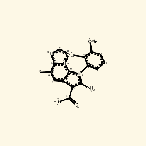 COc1cccc(-n2c(N)c(C(N)=O)c3cc(C)c4ncnn4c32)c1Cl